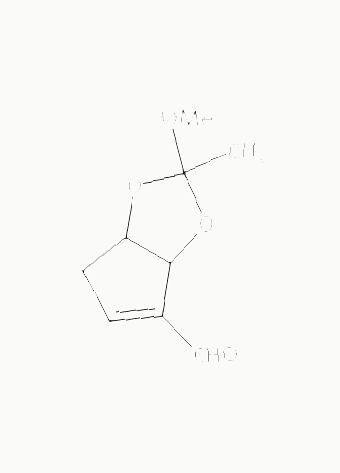 COC1(C)OC2CC=C(C=O)C2O1